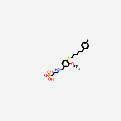 Cc1ccc(CCCCCSc2ccc(CNCCCP(=O)(O)O)cc2OC(F)(F)F)cc1